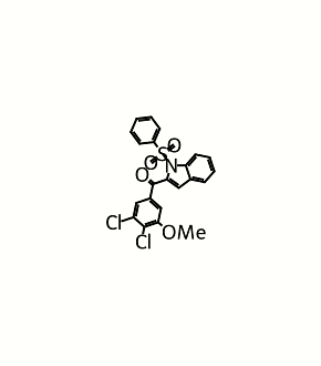 COc1cc(C(=O)c2cc3ccccc3n2S(=O)(=O)c2ccccc2)cc(Cl)c1Cl